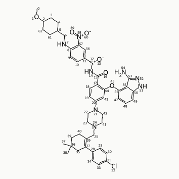 COC1CCC(CNc2ccc([S+]([O-])NC(=O)c3ccc(N4CCN(CC5=C(c6ccc(Cl)cc6)CC(C)(C)CC5)CC4)cc3Oc3cccc4[nH]nc(N)c34)cc2[N+](=O)[O-])CC1